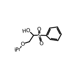 CC(C)OCC(O)S(=O)(=O)c1ccccc1